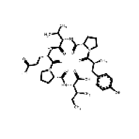 CC[C@H](C)[C@H](NC(=O)[C@@H]1CCCN1C(=O)[C@H](CCC(=O)O)NC(=O)[C@@H](NC(=O)[C@@H]1CCCN1C(=O)[C@@H](N)Cc1ccc(O)cc1)C(C)C)C(=O)O